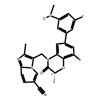 Cc1nc2ccc(C#N)cn2c1CN1C(=O)[C@@H](C)Oc2c(F)cc(-c3cc(F)cc([S+](C)[O-])c3)cc21